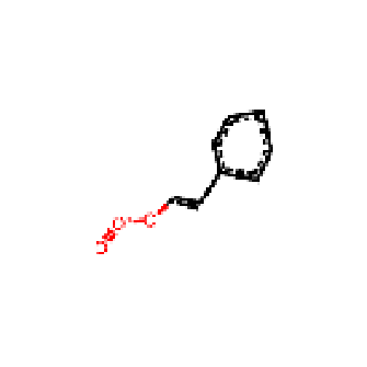 O=[O+]OC=Cc1ccccc1